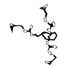 O=C(OCCC1CC2(OC(=O)OCC3CO3)CCCC(OC(=O)OCC3CO3)(C1)C2)OCC1CO1